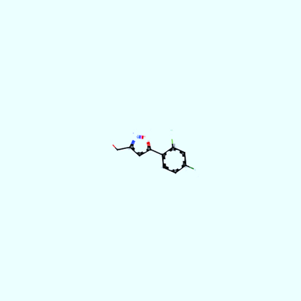 OCc1cc(-c2ccc(Cl)cc2F)on1